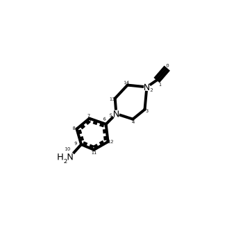 C#CN1CCN(c2ccc(N)cc2)CC1